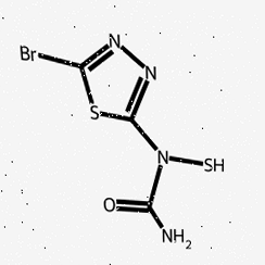 NC(=O)N(S)c1nnc(Br)s1